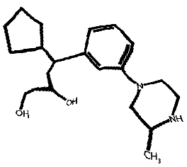 CC1CN(c2cccc(C(C(O)CO)C3CCCC3)c2)CCN1